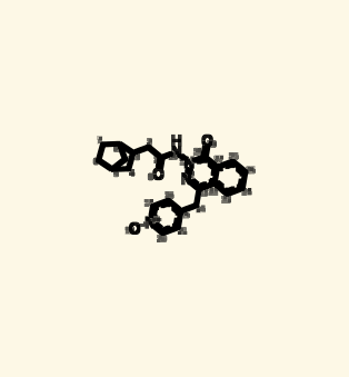 O=C(CC1CC2CCC1C2)Nn1nc(Cc2cc[n+]([O-])cc2)c2ccccc2c1=O